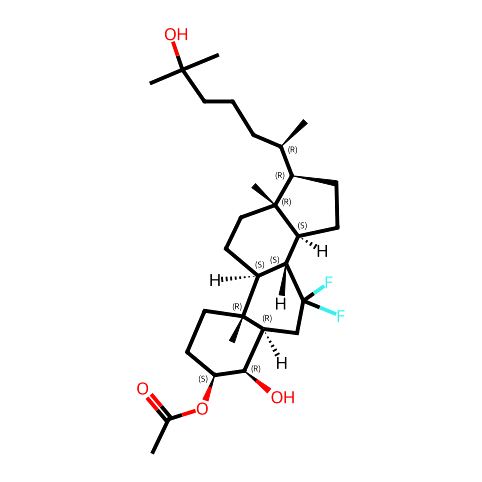 CC(=O)O[C@H]1CC[C@@]2(C)[C@@H](CC(F)(F)[C@@H]3[C@@H]2CC[C@]2(C)[C@@H]([C@H](C)CCCC(C)(C)O)CC[C@@H]32)[C@H]1O